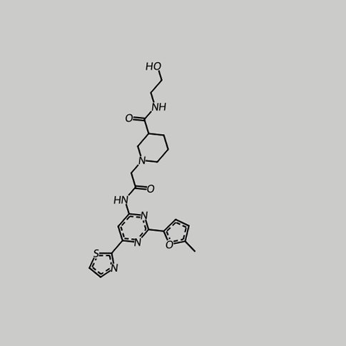 Cc1ccc(-c2nc(NC(=O)CN3CCCC(C(=O)NCCO)C3)cc(-c3nccs3)n2)o1